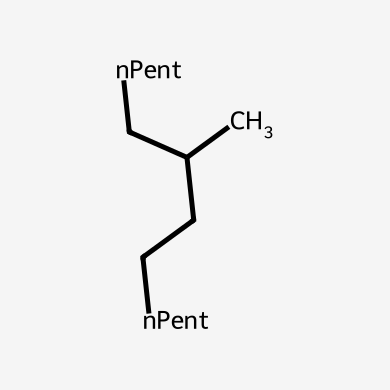 [CH2]CCCCCCC(C)CCCCC[CH2]